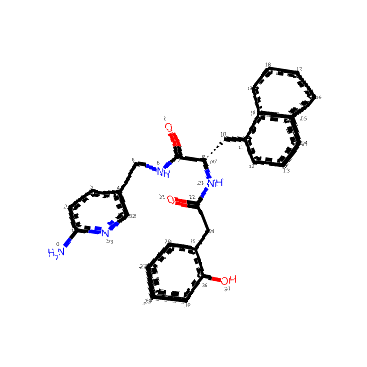 Nc1ccc(CNC(=O)[C@H](Cc2cccc3ccccc23)NC(=O)Cc2ccccc2O)cn1